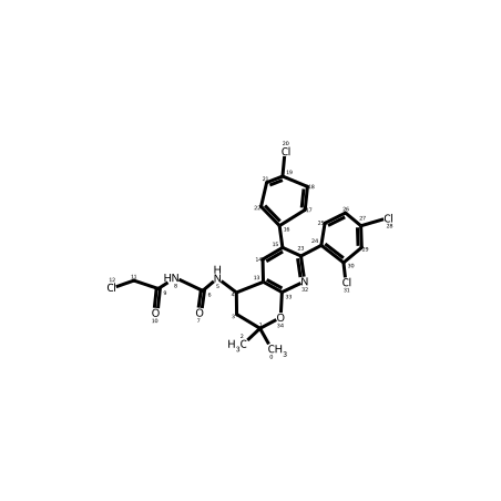 CC1(C)CC(NC(=O)NC(=O)CCl)c2cc(-c3ccc(Cl)cc3)c(-c3ccc(Cl)cc3Cl)nc2O1